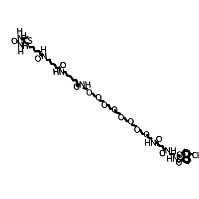 O=C(CCCCCNC(=O)CCCC[C@@H]1SC[C@@H]2NC(=O)N[C@@H]21)NCCCCCC(=O)NCCOCCOCCOCCOCCOCCOCCOCCOCCNC(=O)CCC(=O)NCCNS(=O)(=O)c1cccc2c(Cl)cccc12